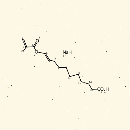 C=C(C)C(=O)OC=CCCCCCCCCC(=O)O.[NaH]